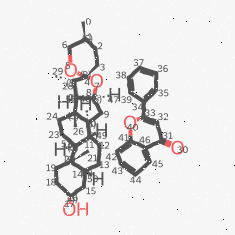 C[C@H]1CC[C@@]2(OC1)O[C@H]1C[C@H]3[C@@H]4CC[C@@H]5C[C@@H](O)CC[C@]5(C)[C@H]4CC[C@]3(C)[C@H]1[C@@H]2C.O=c1cc(-c2ccccc2)oc2ccccc12